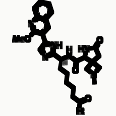 CCC(=O)CCCCC[C@H](NC(=O)C1NC(=O)CC12CN(C)C2)c1ncc(-c2cc3ccccc3nc2OC)[nH]1